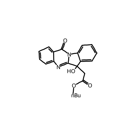 CCCCOC(=O)CC1(O)c2ccccc2-n2c1nc1ccccc1c2=O